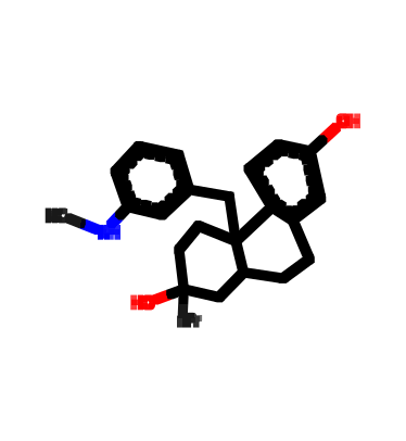 CCCC1(O)CCC2(Cc3cccc(NC#N)c3)c3ccc(O)cc3CCC2C1